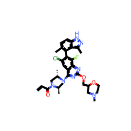 C=CC(=O)N1C[C@H](C)N(c2nc(OCC3CN(C)CCO3)nc3c(F)c(-c4c(C)ccc5[nH]nc(C)c45)c(Cl)cc23)C[C@H]1C